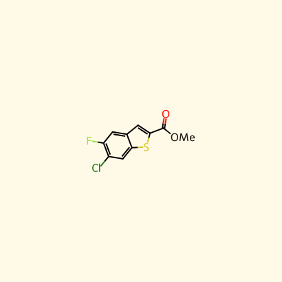 COC(=O)c1cc2cc(F)c(Cl)cc2s1